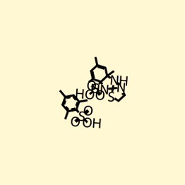 CC1=CC2(C)NC3(N=CCS3)NC2(S(=O)(=O)O)C(C)=C1.Cc1cc(C)c(S(=O)(=O)O)c(C)c1